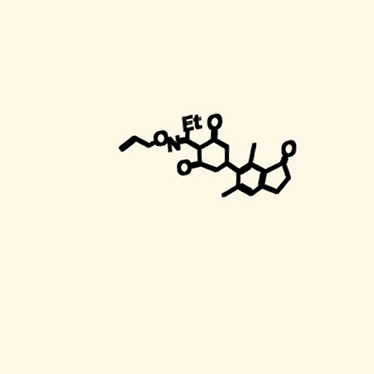 C=CCON=C(CC)C1C(=O)CC(c2c(C)cc3c(c2C)C(=O)CC3)CC1=O